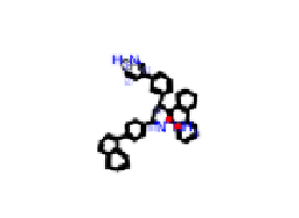 C/C=C\C(=C/N)c1cccc(/C(=C/C(=N\CN)C2=CC=C(c3cccc4ccccc34)CC2)c2cc3ccccc3c3c2C=CCC3)c1